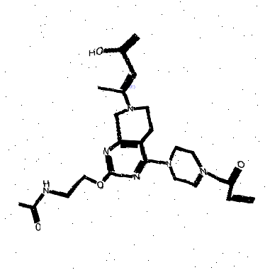 C=CC(=O)N1CCN(c2nc(OCCNC(C)=O)nc3c2CCN(/C(C)=C/C(=C)O)C3)CC1